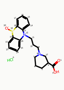 Cl.O=C(O)C1CCCN(CCCN2c3ccccc3[S+]([O-])c3ccccc32)C1